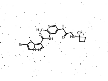 Cc1ncc(NC(=O)CNC2(C)CCC2)cc1NC(=O)c1cnn2cc(Br)sc12